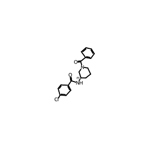 O=C(N[C@@H]1CCCN(C(=O)c2ccccc2)C1)c1ccc(Cl)cc1